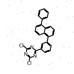 Clc1nc(Cl)nc(-c2cccc(-c3cccc4c(-c5ccccc5)cccc34)c2)n1